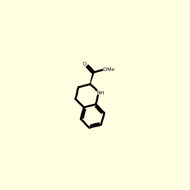 COC(=O)[C@@H]1CCc2ccccc2N1